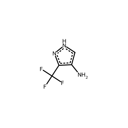 Nc1c[nH]nc1C(F)(F)F